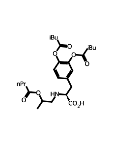 CCCC(=O)OC(C)CN[C@@H](Cc1ccc(OC(=O)C(C)CC)c(OC(=O)C(C)CC)c1)C(=O)O